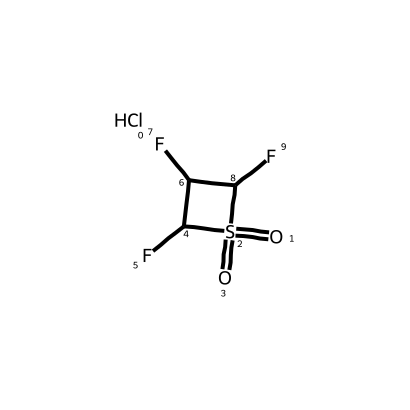 Cl.O=S1(=O)C(F)C(F)C1F